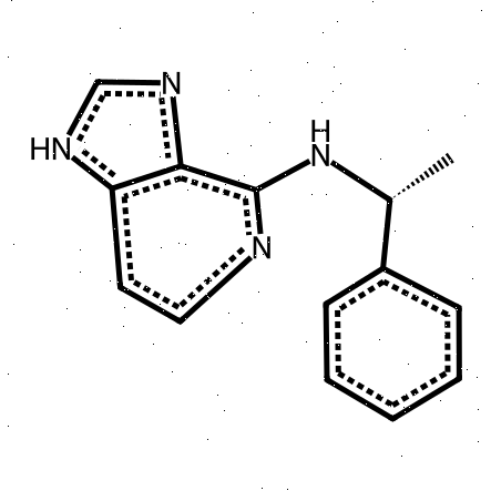 C[C@@H](Nc1nccc2[nH]cnc12)c1ccccc1